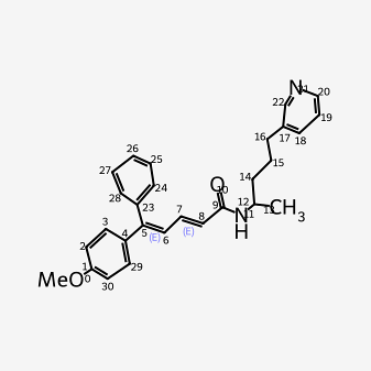 COc1ccc(/C(=C/C=C/C(=O)NC(C)CCCc2cccnc2)c2ccccc2)cc1